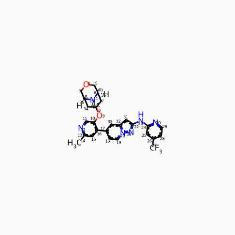 CC(=O)N1[C@@H]2COC[C@H]1CC(Oc1cnc(C)cc1-c1ccn3nc(Nc4cc(C(F)(F)F)ccn4)cc3c1)C2